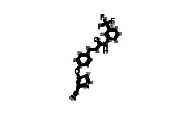 N#Cc1cc(Oc2ccc(CCC(=O)Nc3cccc(C(F)(F)F)c3)cc2)ccn1